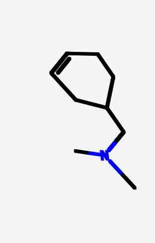 CN(C)CC1CC=CCC1